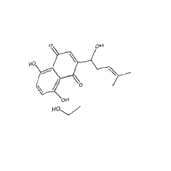 CC(C)=CCC(O)C1=CC(=O)c2c(O)ccc(O)c2C1=O.CCO